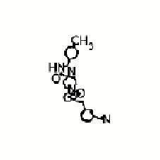 CC1CCC(C2=NC3(CCN(S(=O)(=O)C=Cc4cccc(C#N)c4)CC3)C(=O)N2)CC1